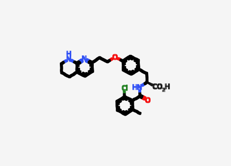 Cc1cccc(Cl)c1C(=O)N[C@@H](Cc1ccc(OCCc2ccc3c(n2)NCCC3)cc1)C(=O)O